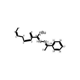 C=C(/C=C\C/C=C\C)/C(CCCC)=N/N=C(\C)c1ccccc1